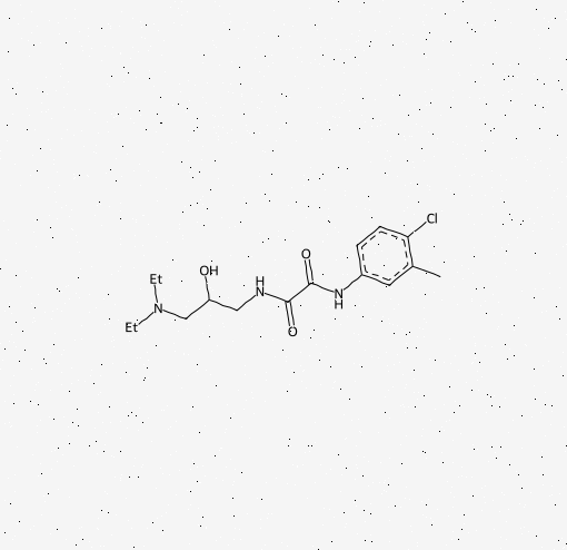 CCN(CC)CC(O)CNC(=O)C(=O)Nc1ccc(Cl)c(C)c1